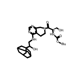 CC(C)(C)OC(=O)N[C@H](CO)C(=O)N1CCc2c(ncnc2NCC(O)C23CC4CC(CC(C4)C2)C3)C1